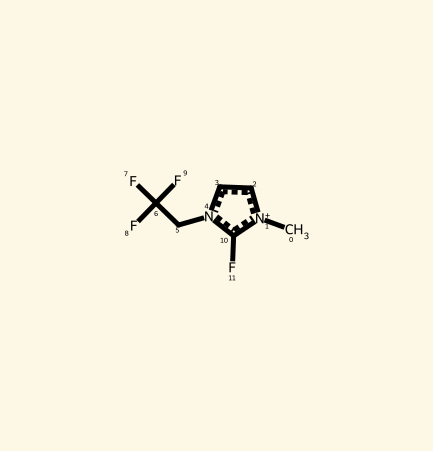 C[n+]1ccn(CC(F)(F)F)c1F